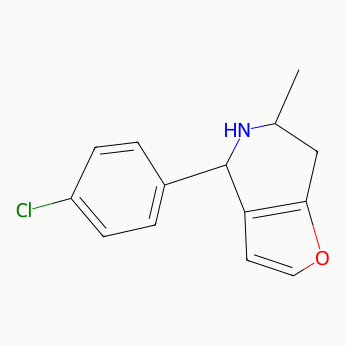 CC1Cc2occc2C(c2ccc(Cl)cc2)N1